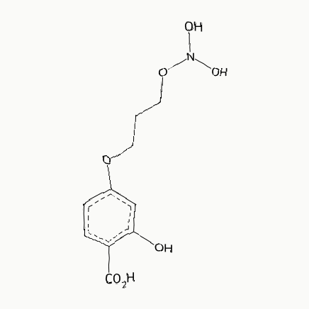 O=C(O)c1ccc(OCCCON(O)O)cc1O